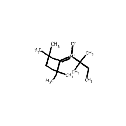 CCC(C)(C)[N+]([O-])=C1C(C)(C)CC1(C)C